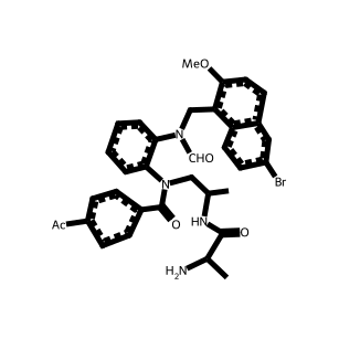 COc1ccc2cc(Br)ccc2c1CN(C=O)c1ccccc1N(CC(C)NC(=O)C(C)N)C(=O)c1ccc(C(C)=O)cc1